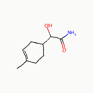 CC1=CCC(C(O)C(N)=O)CC1